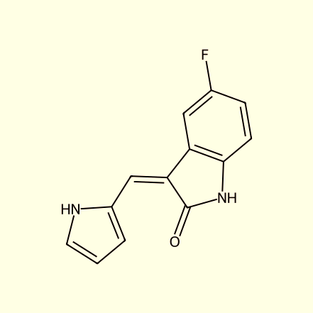 O=C1Nc2ccc(F)cc2/C1=C/c1ccc[nH]1